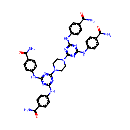 NC(=O)c1ccc(Nc2nc(Nc3ccc(C(N)=O)cc3)nc(N3CCN(c4nc(Nc5ccc(C(N)=O)cc5)nc(Nc5ccc(C(N)=O)cc5)n4)CC3)n2)cc1